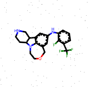 Fc1c(Nc2cc3c4c(c2)C2CNCCC2N4CCOC3)cccc1C(F)(F)F